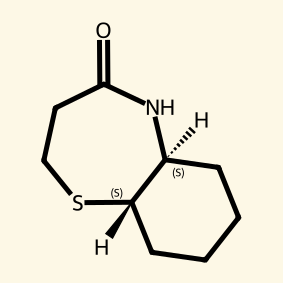 O=C1CCS[C@H]2CCCC[C@@H]2N1